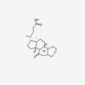 CC(CCC(=O)O)[C@H]1CC[C@H]2[C@@H]3C(=O)CC4CCCC[C@]4(C)[C@H]3CC[C@]12C